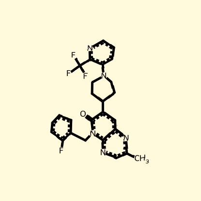 Cc1cnc2c(cc(C3CCN(c4cccnc4C(F)(F)F)CC3)c(=O)n2Cc2ccccc2F)n1